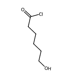 O=C(Cl)CCCCCO